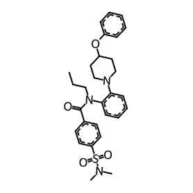 CCCN(C(=O)c1ccc(S(=O)(=O)N(C)C)cc1)c1ccccc1N1CCC(Oc2ccccc2)CC1